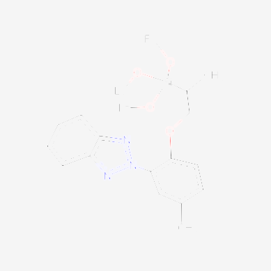 CCO[Si](OCC)(OCC)C(C)COc1ccc(C)cc1-n1nc2ccccc2n1